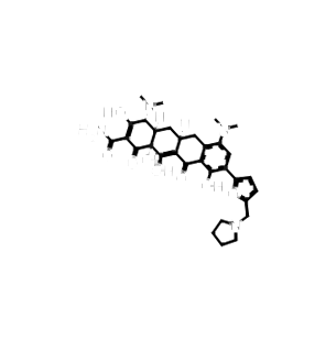 CN(C)c1cc(-c2ccc(CN3CCCC3)o2)c(O)c2c1C[C@@H]1C[C@@H]3[C@@H](N(C)C)C(O)=C(C(N)=O)C(=O)[C@]3(O)C(O)=C1C2=O